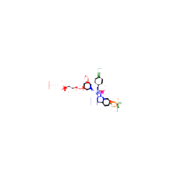 COc1cc(NC(C(=O)N2CCc3ccc(OC(F)(F)F)cc32)C2C=CC(F)=CC2)cc(OCCCC(=O)O)c1